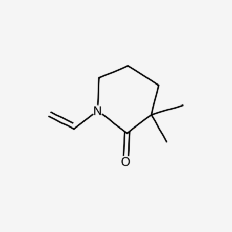 C=CN1CCCC(C)(C)C1=O